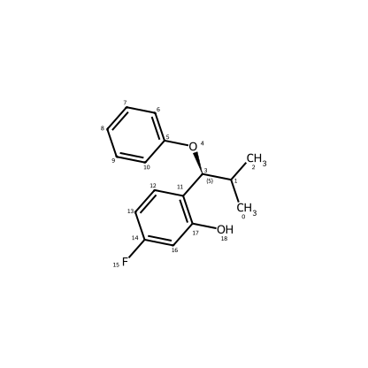 CC(C)[C@H](Oc1ccccc1)c1ccc(F)cc1O